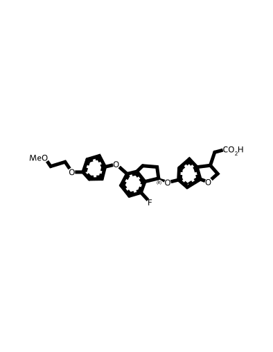 COCCOc1ccc(Oc2ccc(F)c3c2CC[C@H]3Oc2ccc3c(c2)OCC3CC(=O)O)cc1